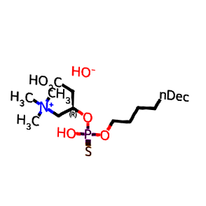 CCCCCCCCCCCCCCOP(O)(=S)O[C@H](CC(=O)O)C[N+](C)(C)C.[OH-]